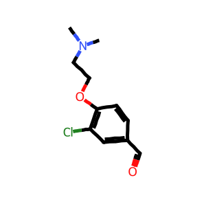 CN(C)CCOc1ccc(C=O)cc1Cl